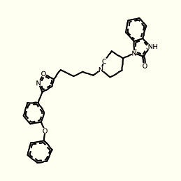 O=c1[nH]c2ccccc2n1C1CCN(CCCCc2cc(-c3cccc(Oc4ccccc4)c3)no2)CC1